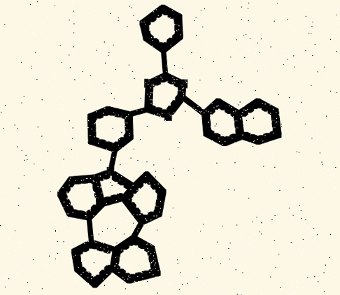 c1ccc(-c2nc(-c3cccc(-n4c5cccc6c5c5c(cccc54)-c4cccc5cccc-6c45)c3)nc(-c3ccc4ccccc4c3)n2)cc1